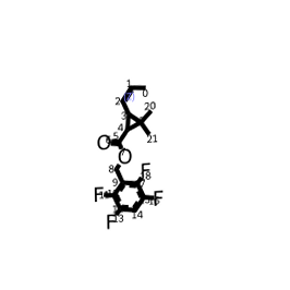 C/C=C\C1C(C(=O)OCc2c(F)c(F)cc(F)c2F)C1(C)C